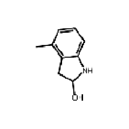 Cc1cccc2c1CC(O)N2